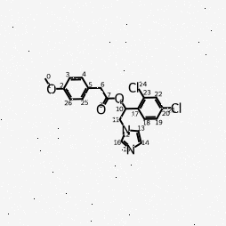 COc1ccc(CC(=O)OC(Cn2ccnc2)c2ccc(Cl)cc2Cl)cc1